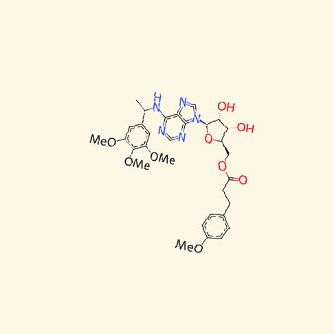 COc1ccc(CCC(=O)OC[C@H]2O[C@@H](n3cnc4c(NC(C)c5cc(OC)c(OC)c(OC)c5)ncnc43)[C@H](O)[C@@H]2O)cc1